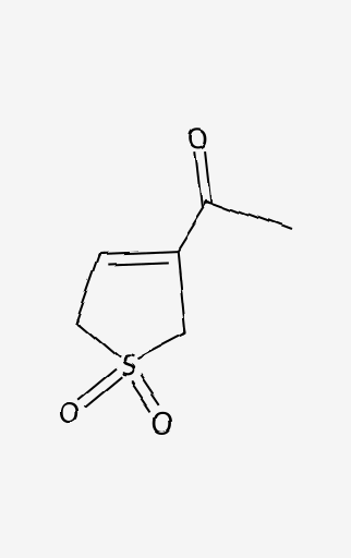 CC(=O)C1=CCS(=O)(=O)C1